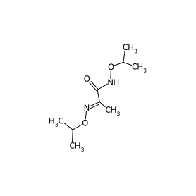 C/C(=N\OC(C)C)C(=O)NOC(C)C